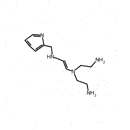 NCCN(C=CNCc1ccccn1)CCN